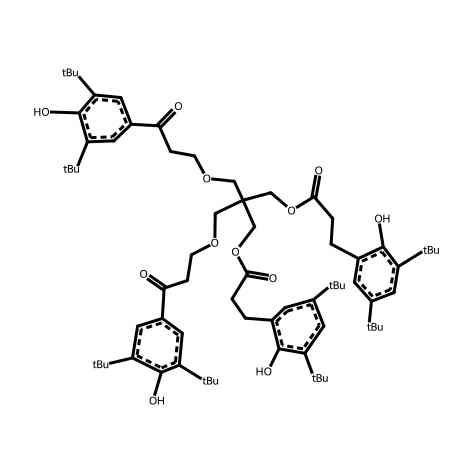 CC(C)(C)c1cc(CCC(=O)OCC(COCCC(=O)c2cc(C(C)(C)C)c(O)c(C(C)(C)C)c2)(COCCC(=O)c2cc(C(C)(C)C)c(O)c(C(C)(C)C)c2)COC(=O)CCc2cc(C(C)(C)C)cc(C(C)(C)C)c2O)c(O)c(C(C)(C)C)c1